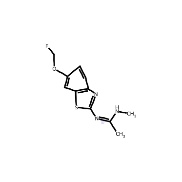 CN/C(C)=N\c1nc2ccc(OCF)cc2s1